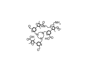 COOc1c(C)oc(-c2cc(CN3CCN(Cc4cc(-c5oc(C)c(C(=O)O)c5C)cc(C=O)n4)CCN(Cc4cc(-c5oc(C)c(C(=O)NCCCCCCN)c5C)cc(C=O)n4)CC3)nc(C(=O)O)c2)c1C